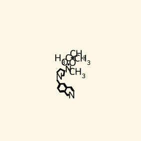 CN(C(=O)OC(C)(C)C)[C@H]1CCN(Cc2ccc3cnccc3c2)C1